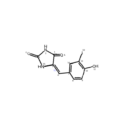 O=C1NC(=O)/C(=C\c2ccc(O)c(I)c2)N1